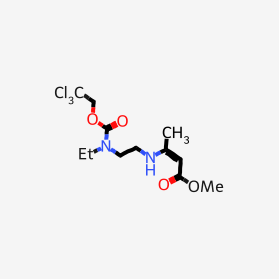 CCN(CCN/C(C)=C\C(=O)OC)C(=O)OCC(Cl)(Cl)Cl